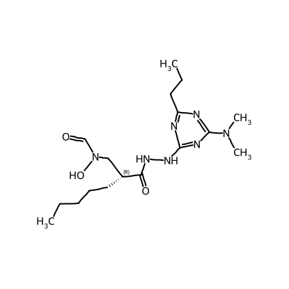 CCCCC[C@H](CN(O)C=O)C(=O)NNc1nc(CCC)nc(N(C)C)n1